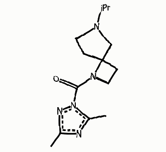 Cc1nc(C)n(C(=O)N2CCC23CCN(C(C)C)C3)n1